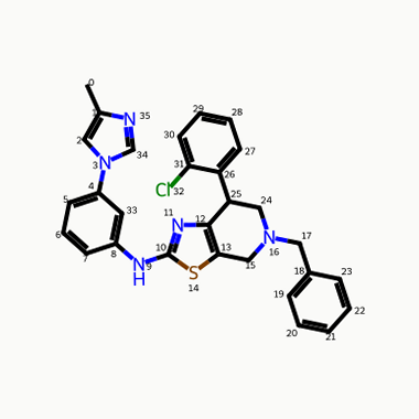 Cc1cn(-c2cccc(Nc3nc4c(s3)CN(Cc3ccccc3)CC4c3ccccc3Cl)c2)cn1